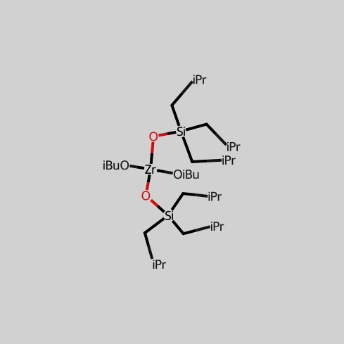 CC(C)C[O][Zr]([O]CC(C)C)([O][Si](CC(C)C)(CC(C)C)CC(C)C)[O][Si](CC(C)C)(CC(C)C)CC(C)C